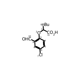 CCCCC(Oc1ccc(Cl)cc1C=O)C(=O)O